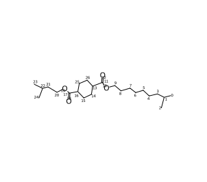 CC(C)CCCCCCCOC(=O)C1CCC(C(=O)OCCC(C)C)CC1